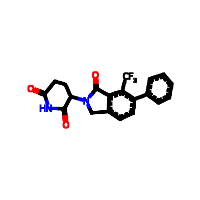 O=C1CCC(N2Cc3ccc(-c4ccccc4)c(C(F)(F)F)c3C2=O)C(=O)N1